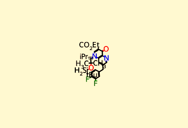 CCOC(=O)c1cn([C@@H](C(C)C)C(C)(C)O[SiH2]C(C)(C)C)c2cc(Cc3ccc(F)c(F)c3)cnc2c1=O